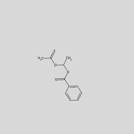 CC(=S)OC(C)OC(=O)c1ccccc1